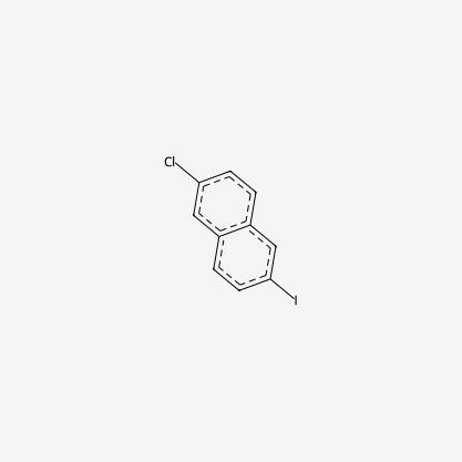 Clc1ccc2cc(I)ccc2c1